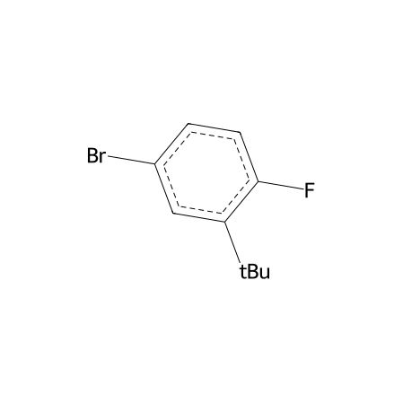 CC(C)(C)c1cc(Br)ccc1F